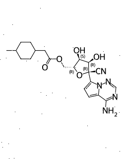 CC1CCC(CC(=O)OC[C@H]2O[C@@](C#N)(c3ccc4c(N)ncnn34)[C@H](O)[C@@H]2O)CC1